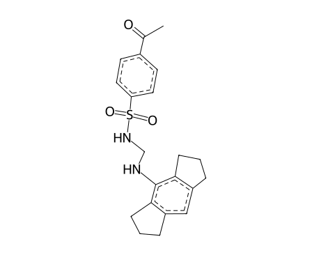 CC(=O)c1ccc(S(=O)(=O)NCNc2c3c(cc4c2CCC4)CCC3)cc1